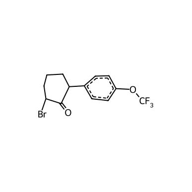 O=C1C(Br)CCCC1c1ccc(OC(F)(F)F)cc1